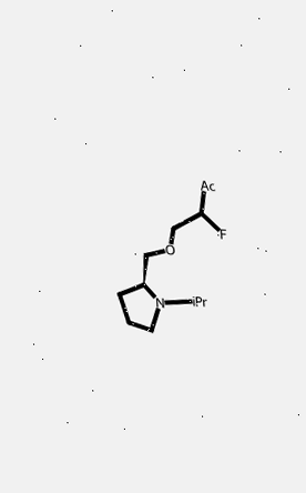 CC(=O)C(F)COC[C@@H]1CCCN1C(C)C